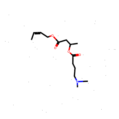 C/C=C\COC(=O)CC(C)OC(=O)CCCN(C)C